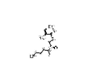 C=C(C#N)/C(=N\CC)SC[S+]([O-])C(C)CCCCl